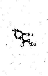 CC(C)(C)OC(=O)N1CCNCC1C(C)(C)C